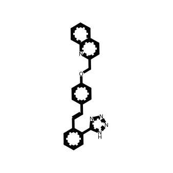 C(=C\c1ccccc1-c1nnn[nH]1)/c1ccc(OCc2ccc3ccccc3n2)cc1